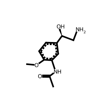 COc1ccc([C@@H](O)CN)cc1NC(C)=O